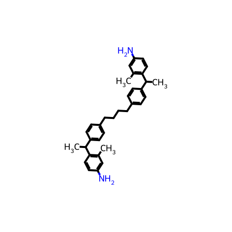 Cc1cc(N)ccc1C(C)c1ccc(CCCCc2ccc(C(C)c3ccc(N)cc3C)cc2)cc1